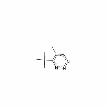 Cc1cnnnc1C(C)(C)C